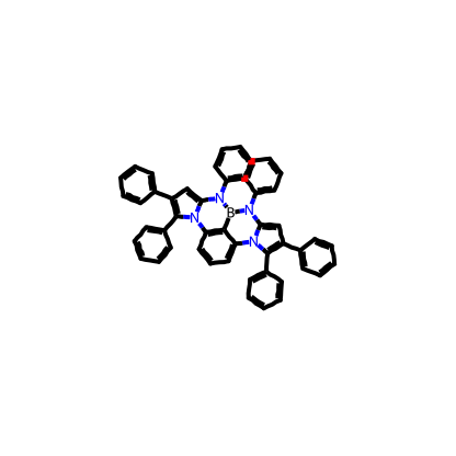 c1ccc(-c2cc3n(c2-c2ccccc2)-c2cccc4c2B(N3c2ccccc2)N(c2ccccc2)c2cc(-c3ccccc3)c(-c3ccccc3)n2-4)cc1